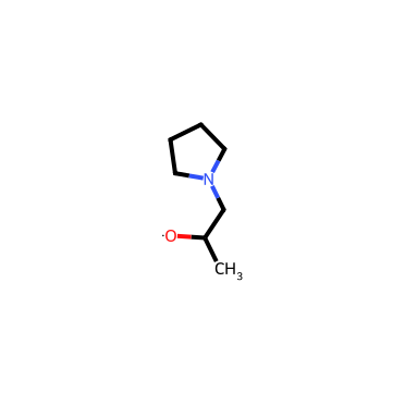 CC([O])CN1CCCC1